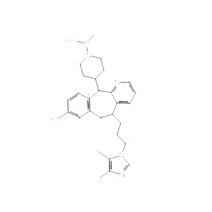 CB(O)N1CCC(C2c3ccc(Cl)cc3CC(CCCn3cnc(C)c3C)c3cccnc32)CC1